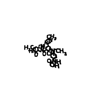 CCN(c1cc(-c2cnc(C)cn2)cc(C(=O)NCc2c(C)cc(C)[nH]c2=O)c1C)[C@H]1CC[C@H](NC(=O)O)CC1